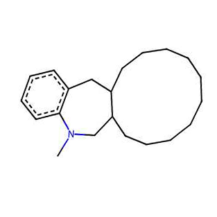 CN1CC2CCCCCCCCCCC2Cc2ccccc21